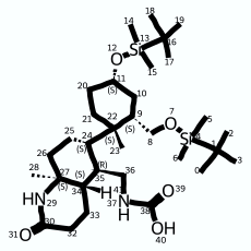 CC(C)(C)[Si](C)(C)OC[C@H]1C[C@@H](O[Si](C)(C)C(C)(C)C)CC[C@@]1(C)[C@H]1CC[C@]2(C)NC(=O)CC[C@H]2[C@@H]1CNC(=O)O